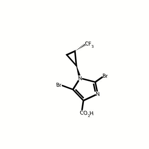 O=C(O)c1nc(Br)n([C@H]2C[C@@H]2C(F)(F)F)c1Br